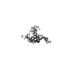 C=C(F)C(=O)Nc1ccc(-c2c(-c3ccc(C(=O)NCC(F)(F)F)c(OC)c3)c3c(N)ncc(C#CCN4CC[C@H](O)C4)c3n2C)cc1